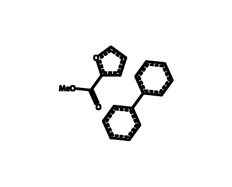 COC(=O)c1ccco1.c1ccc(-c2ccccc2)cc1